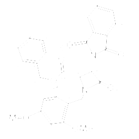 COc1ccc(CN2C(=O)[C@@H](N3C(=O)c4ccccc4C3=O)[C@H]2C(=O)OCc2ccccc2)c(OC)c1